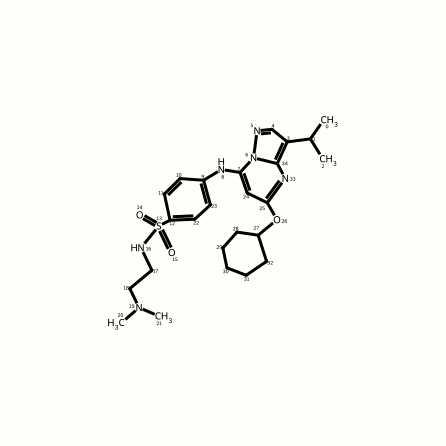 CC(C)c1cnn2c(Nc3ccc(S(=O)(=O)NCCN(C)C)cc3)cc(OC3CCCCC3)nc12